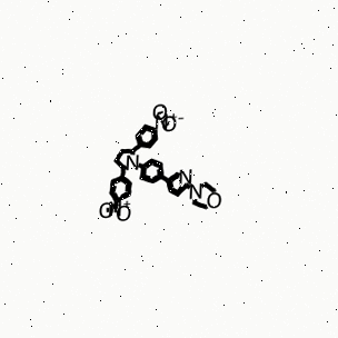 O=[N+]([O-])c1ccc(C2CCC(c3ccc([N+](=O)[O-])cc3)N2c2ccc(-c3ccc(N4CCOCC4)nc3)cc2)cc1